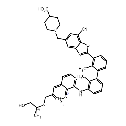 C=C(/C=C1/C=CN=C(Nc2cccc(-c3cccc(-c4nc5cc(CN6CCC(C(=O)O)CC6)cc(C#N)c5o4)c3C)c2C)/C1=N/C)CN[C@@H](C)CO